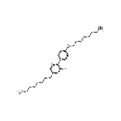 CCCCCCCCOc1ccc(-c2ncc(CCCCCCCC)cc2F)cc1